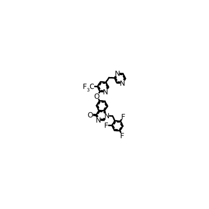 O=c1ncn(Cc2c(F)cc(F)cc2F)c2ccc(Oc3ncc(Cc4cnccn4)cc3C(F)(F)F)cc12